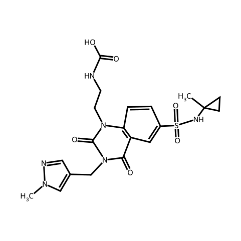 Cn1cc(Cn2c(=O)c3cc(S(=O)(=O)NC4(C)CC4)ccc3n(CCNC(=O)O)c2=O)cn1